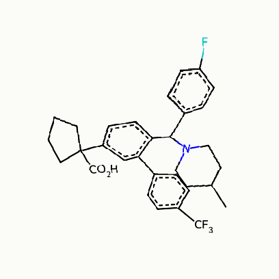 CC1CCN(C(c2ccc(F)cc2)c2ccc(C3(C(=O)O)CCCC3)cc2-c2ccc(C(F)(F)F)cc2)CC1